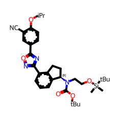 CC(C)Oc1ccc(-c2nc(-c3cccc4c3CC[C@H]4N(CCO[Si](C)(C)C(C)(C)C)C(=O)OC(C)(C)C)no2)cc1C#N